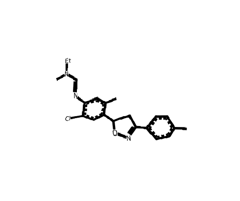 CCN(C)C=Nc1cc(C)c(C2CC(c3ccc(C)cc3)=NO2)cc1Cl